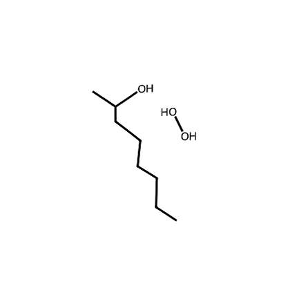 CCCCCCC(C)O.OO